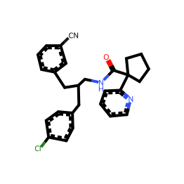 N#Cc1cccc(CC(CNC(=O)C2(c3ccccn3)CCCC2)Cc2ccc(Cl)cc2)c1